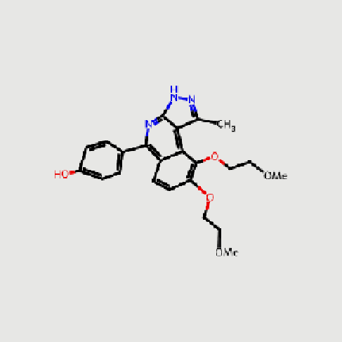 COCCOc1ccc2c(-c3ccc(O)cc3)nc3[nH]nc(C)c3c2c1OCCOC